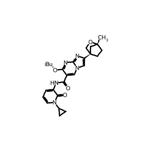 CC[C@@H](C)Oc1nc2nc([C@]34CC[C@](C)(C3)OC4)cn2cc1C(=O)Nc1cccn(C2CC2)c1=O